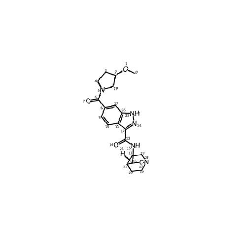 CO[C@@H]1CCN(C(=O)c2ccc3c(C(=O)N[C@@H]4CN5CCC4CC5)n[nH]c3c2)C1